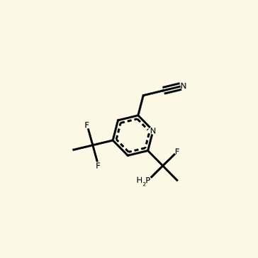 CC(F)(F)c1cc(CC#N)nc(C(C)(F)P)c1